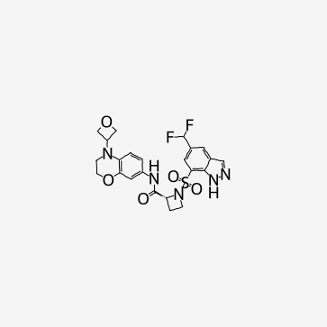 O=C(Nc1ccc2c(c1)OCCN2C1COC1)[C@@H]1CCN1S(=O)(=O)c1cc(C(F)F)cc2cn[nH]c12